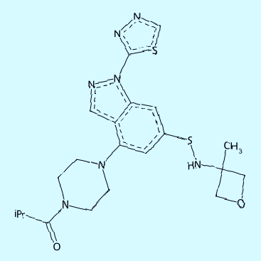 CC(C)C(=O)N1CCN(c2cc(SNC3(C)COC3)cc3c2cnn3-c2nncs2)CC1